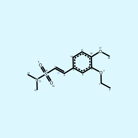 CCOc1cc(/C=C/S(=O)(=O)N(C)C)ccc1OC